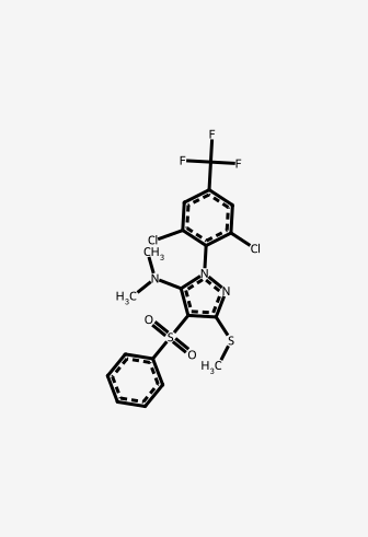 CSc1nn(-c2c(Cl)cc(C(F)(F)F)cc2Cl)c(N(C)C)c1S(=O)(=O)c1ccccc1